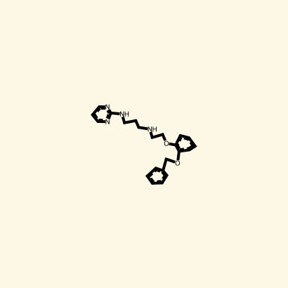 c1ccc(COc2ccccc2OCCNCCCNc2ncccn2)cc1